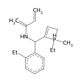 C=CC(=C)NC(C1=CC[PH]1(C)CC)c1ccccc1CC